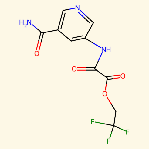 NC(=O)c1cncc(NC(=O)C(=O)OCC(F)(F)F)c1